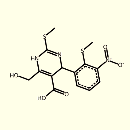 CSC1=NC(c2cccc([N+](=O)[O-])c2SC)C(C(=O)O)=C(CO)N1